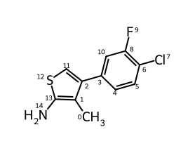 Cc1c(-c2ccc(Cl)c(F)c2)csc1N